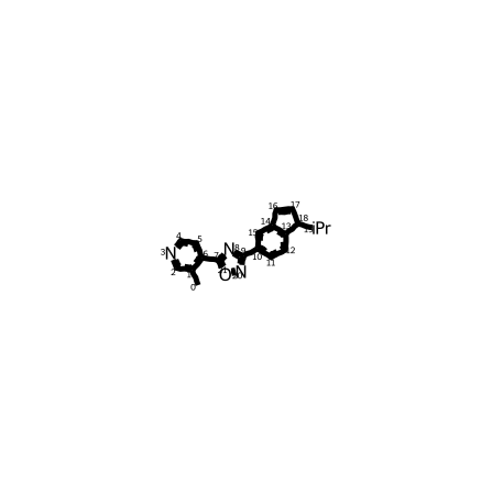 Cc1cnccc1-c1nc(-c2ccc3c(c2)C=CC3C(C)C)no1